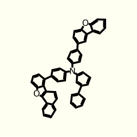 c1ccc(-c2cccc(N(c3ccc(-c4ccc5oc6ccccc6c5c4)cc3)c3ccc(-c4cccc5oc6c7ccccc7ccc6c45)cc3)c2)cc1